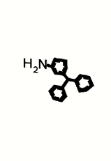 Nc1cccc(C(c2ccccc2)c2ccccc2)c1